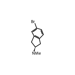 CN[C@@H]1Cc2ccc(Br)cc2C1